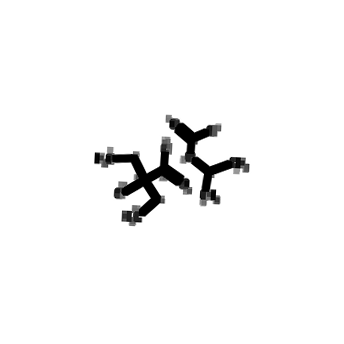 CC(C)OC(=O)Cl.CCC(Cl)(CC)C(=O)Cl